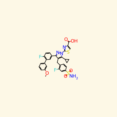 COc1cccc(-c2cc(-c3nn(-c4nc(C(=O)O)cs4)c(C4CC4)c3Cc3ccc(S(N)(=O)=O)cc3F)ccc2F)c1